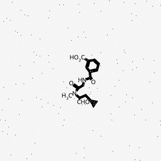 CN(C(=O)CNC(=O)c1cccc(C(=O)O)c1)[C@H](C=O)CC1CC1